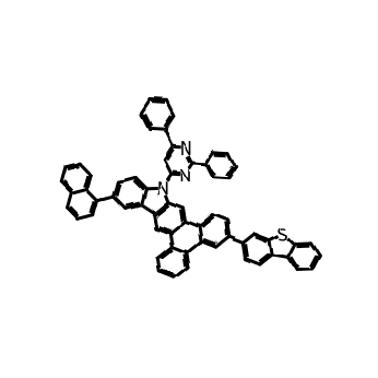 c1ccc(-c2cc(-n3c4ccc(-c5cccc6ccccc56)cc4c4cc5c6ccccc6c6cc(-c7ccc8c(c7)sc7ccccc78)ccc6c5cc43)nc(-c3ccccc3)n2)cc1